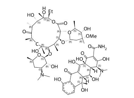 CC[C@H]1OC(=O)[C@H](C)[C@@H](O[C@H]2C[C@@](C)(OC)[C@@H](O)[C@H](C)O2)[C@@H](C)[C@@H](O[C@@H]2O[C@H](C)C[C@H](N(C)C)[C@H]2O)[C@](C)(O)C[C@@H](C)C(=O)[C@H](C)[C@H](O)[C@]1(C)O.CN(C)[C@@H]1C(O)=C(C(N)=O)C(=O)[C@@]2(O)C(O)=C3C(=O)c4c(O)cccc4[C@@](C)(O)[C@H]3[C@H](O)[C@@H]12